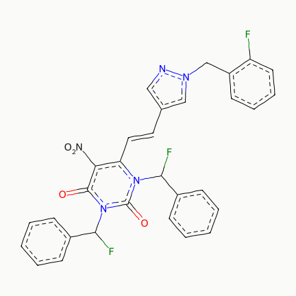 O=c1c([N+](=O)[O-])c(/C=C/c2cnn(Cc3ccccc3F)c2)n(C(F)c2ccccc2)c(=O)n1C(F)c1ccccc1